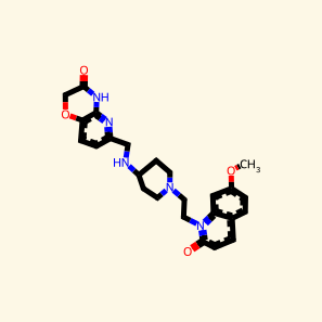 COc1ccc2ccc(=O)n(CCN3CCC(NCc4ccc5c(n4)NC(=O)CO5)CC3)c2c1